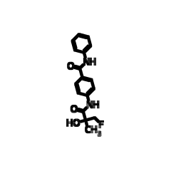 CC(O)(CF)C(=O)Nc1ccc(C(=O)Nc2ccccc2)cc1